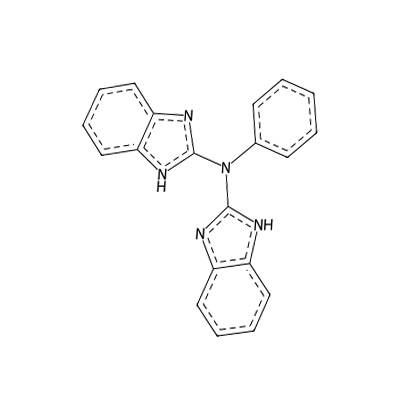 c1ccc(N(c2nc3ccccc3[nH]2)c2nc3ccccc3[nH]2)cc1